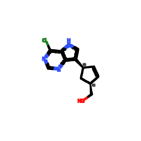 OC[C@@H]1C=C[C@H](c2c[nH]c3c(Cl)ncnc23)C1